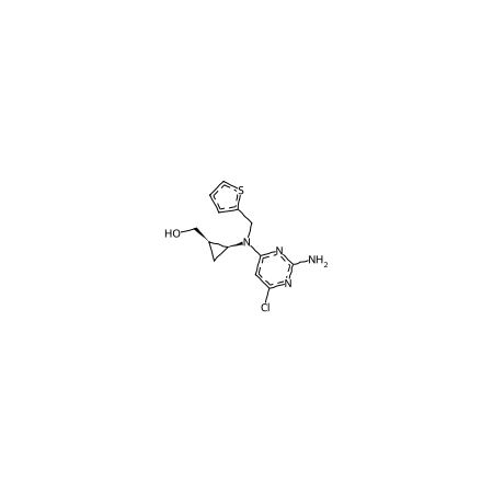 Nc1nc(Cl)cc(N(Cc2cccs2)[C@H]2C[C@H]2CO)n1